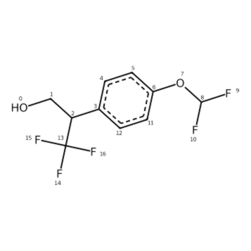 OCC(c1ccc(OC(F)F)cc1)C(F)(F)F